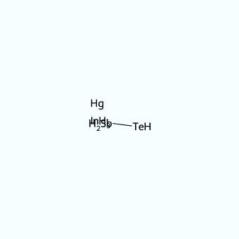 [Hg].[InH3].[SbH2][TeH]